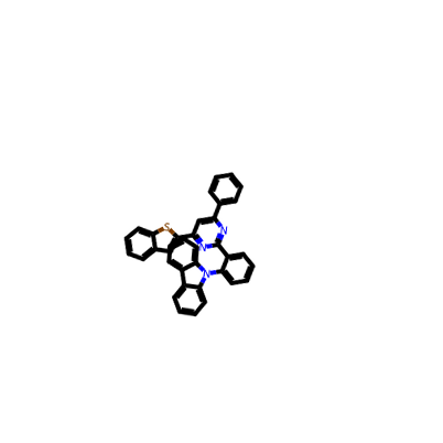 c1ccc(-c2cc(-c3cc4ccccc4s3)nc(-c3ccccc3-n3c4ccccc4c4ccccc43)n2)cc1